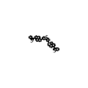 c1ccc2c(-c3ccc4ccc5c(-c6ccc7sc8ccc(-c9ccc%10ccc%11c(-c%12csc%13ccccc%12%13)ccc%12ccc9c%10c%12%11)cc8c7c6)ccc6ccc3c4c65)csc2c1